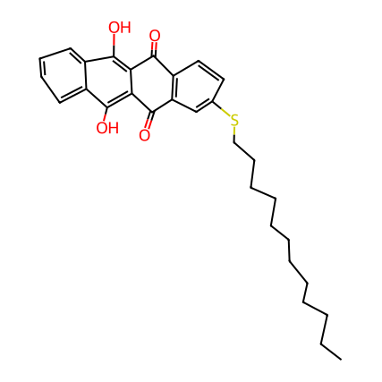 CCCCCCCCCCCCSc1ccc2c(c1)C(=O)c1c(c(O)c3ccccc3c1O)C2=O